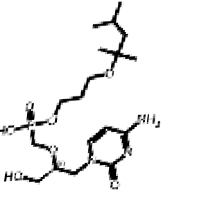 CC(C)CC(C)(C)OCCCOP(=O)(O)CO[C@H](CO)Cn1ccc(N)nc1=O